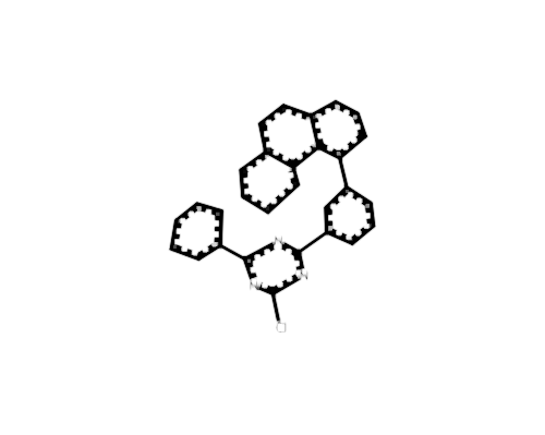 Clc1nc(-c2ccccc2)nc(-c2cccc(-c3cccc4ccc5ccccc5c34)c2)n1